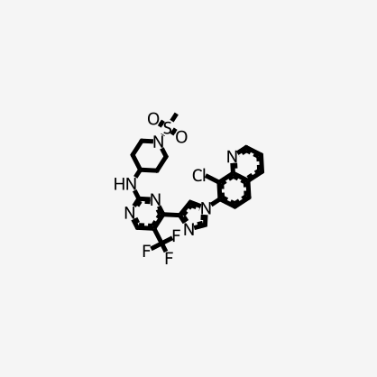 CS(=O)(=O)N1CCC(Nc2ncc(C(F)(F)F)c(-c3cn(-c4ccc5cccnc5c4Cl)cn3)n2)CC1